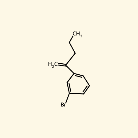 C=C(CCC)c1cccc(Br)c1